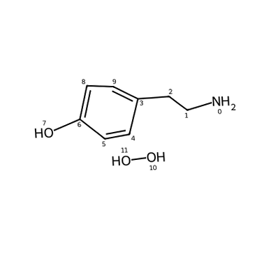 NCCc1ccc(O)cc1.OO